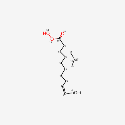 CCCCCCCC/C=C\CCCCCCCC(=O)OO.[CH3][Sn][CH3]